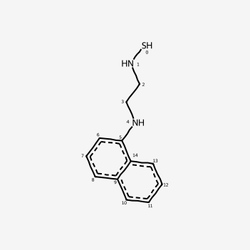 SNCCNc1cccc2ccccc12